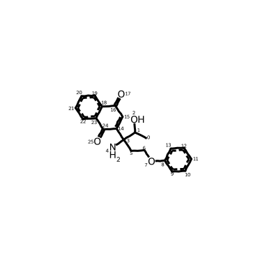 CC(O)C(N)(CCOc1ccccc1)C1=CC(=O)c2ccccc2C1=O